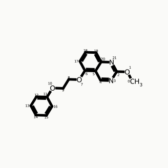 COc1ncc2c(OCCOc3ccccc3)cccc2n1